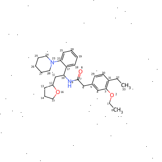 CCOc1cc(CC(=O)NC(CC2CCCO2)c2ccccc2N2CCCCC2)ccc1CC